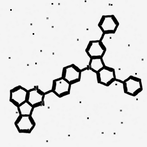 c1ccc(-c2ccc3c(c2)c2cc(-c4ccccc4)ccc2n3-c2ccc3cc(-c4nc5c6c(cccc6n4)-c4ccccc4-5)ccc3c2)cc1